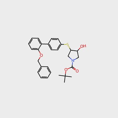 CC(C)(C)OC(=O)N1CC(O)C(Sc2ccc(-c3ccccc3OCc3ccccc3)cc2)C1